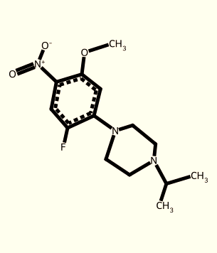 COc1cc(N2CCN(C(C)C)CC2)c(F)cc1[N+](=O)[O-]